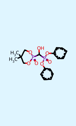 CC1(C)COP(=O)(C(O)P(=O)(Oc2ccccc2)Oc2ccccc2)OC1